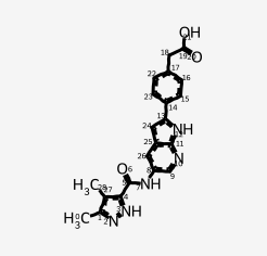 Cc1n[nH]c(C(=O)Nc2cnc3[nH]c(-c4ccc(CC(=O)O)cc4)cc3c2)c1C